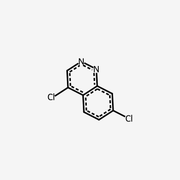 Clc1ccc2c(Cl)cnnc2c1